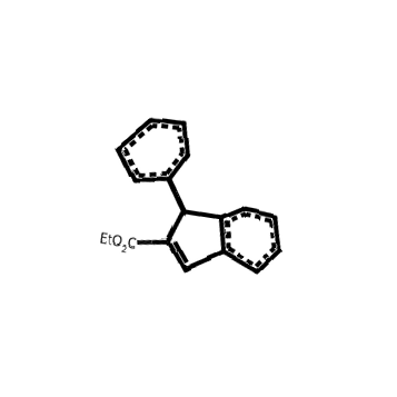 CCOC(=O)C1=Cc2ccccc2C1c1ccccc1